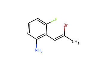 C/C(Br)=C/c1c(N)cccc1F